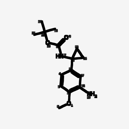 COc1ccc(C2(NC(=O)OC(C)(C)C)CC2)cc1N